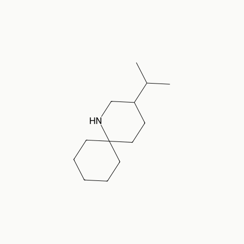 CC(C)C1CCC2(CCCCC2)NC1